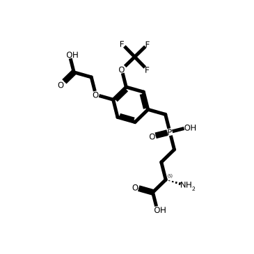 N[C@@H](CCP(=O)(O)Cc1ccc(OCC(=O)O)c(OC(F)(F)F)c1)C(=O)O